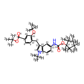 [2H]C([2H])([2H])OC(=O)c1ccc(Cc2cn(C([2H])([2H])[2H])c3ccc(NC(=O)OC4([2H])C([2H])([2H])C([2H])([2H])C([2H])([2H])C4([2H])[2H])cc23)c(OC([2H])([2H])[2H])c1